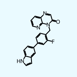 O=c1cnc2cccnc2n1Cc1ccc(-c2ccc3[nH]ccc3c2)cc1F